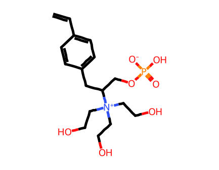 C=Cc1ccc(CC(COP(=O)([O-])O)[N+](CCO)(CCO)CCO)cc1